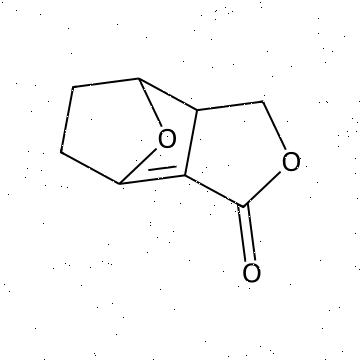 O=C1OCC2C1=C1CCC2O1